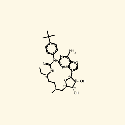 CC[C@H](CCN(C)C[C@H]1O[C@@H](n2cnc3c(N)ncnc32)[C@H](O)[C@@H]1O)NC(=O)Nc1ccc(C(C)(C)C)cc1